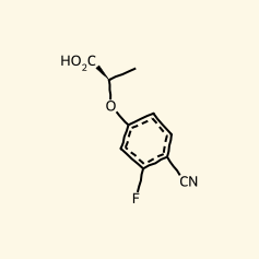 C[C@@H](Oc1ccc(C#N)c(F)c1)C(=O)O